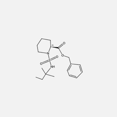 CCC(C)(C)NS(=O)(=O)N1CCCC[C@H]1C(=O)OCc1ccccc1